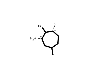 CC1CC[C@@H](C)C(O)[C@@H](N)C1